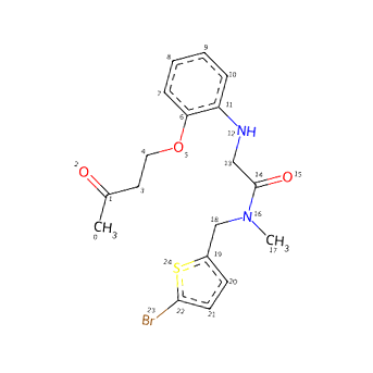 CC(=O)CCOc1ccccc1NCC(=O)N(C)Cc1ccc(Br)s1